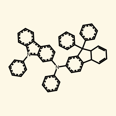 C1=CC2c3ccc(N(c4ccccc4)c4ccc5c6ccccc6n(-c6ccccc6)c5c4)cc3C(c3ccccc3)(c3ccccc3)C2C=C1